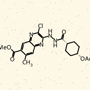 COC(=O)c1cc2nc(Cl)c(NNC(=O)[C@H]3CC[C@@H](OC(C)=O)CC3)nc2cc1C